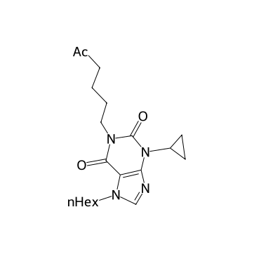 CCCCCCn1cnc2c1c(=O)n(CCCCC(C)=O)c(=O)n2C1CC1